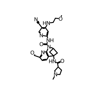 COCCNc1cc(NC(=O)N2c3nc(C=O)ccc3C3(NC(=O)C4CCN(C)C4)CC2C3)ncc1C#N